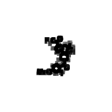 COc1ccc(C(=O)N2CCC3(CC2)NC(C)(C)Cn2c(C(=O)C(F)(F)F)ccc23)c(F)c1